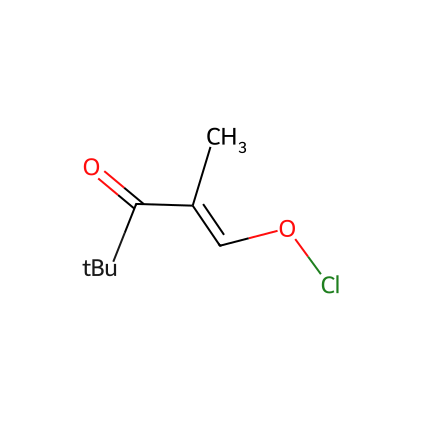 CC(=COCl)C(=O)C(C)(C)C